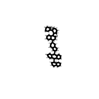 c1ccc2c(-c3c4ccccc4c(-c4ccc5cc(-c6cc7sc8ccc9sc%10ccccc%10c9c8c7c7ccccc67)ccc5c4)c4ccccc34)cccc2c1